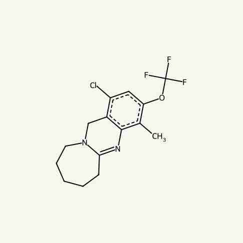 Cc1c(OC(F)(F)F)cc(Cl)c2c1N=C1CCCCCN1C2